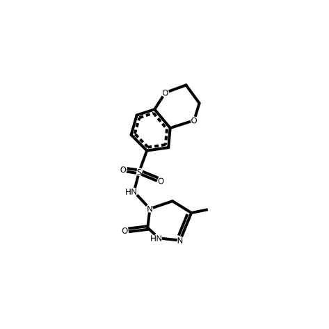 CC1=NNC(=O)N(NS(=O)(=O)c2ccc3c(c2)OCCO3)C1